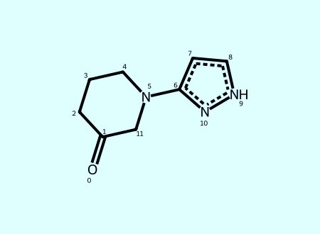 O=C1CCCN(c2cc[nH]n2)C1